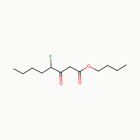 CCCCOC(=O)CC(=O)C(F)CCCC